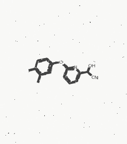 Cc1ccc(Oc2cccc(C(O)C#N)n2)cc1C